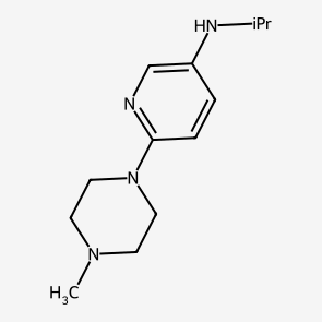 CC(C)Nc1ccc(N2CCN(C)CC2)nc1